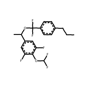 CCCc1ccc(C(F)(F)OC(C)c2cc(F)c(OC(F)F)c(F)c2)cc1